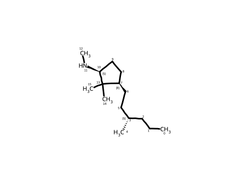 CCC[C@H](C)CC[C@@H]1CC[C@H](NC)C1(C)C